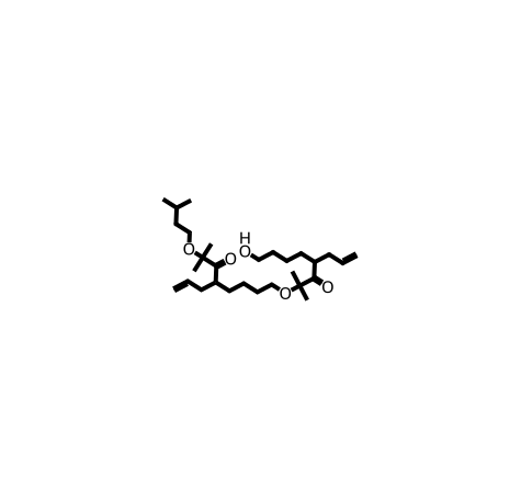 C=CCC(CCCCO)C(=O)C(C)(C)OCCCCC(CC=C)C(=O)C(C)(C)OCCC(C)C